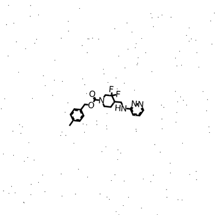 Cc1ccc(COC(=O)N2CCC(CNc3cccnn3)C(F)(F)C2)cc1